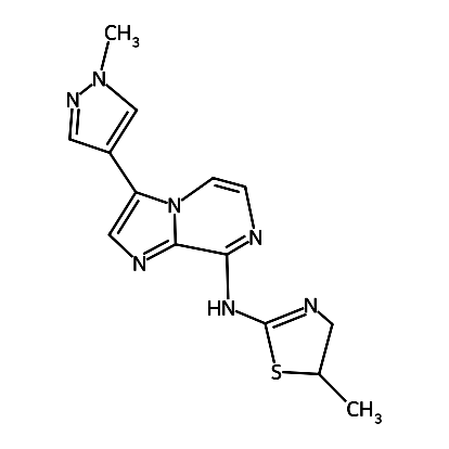 CC1CN=C(Nc2nccn3c(-c4cnn(C)c4)cnc23)S1